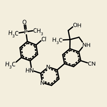 Cc1cc(P(C)(C)=O)c(Cl)cc1Nc1nccc(-c2cc(C#N)c3c(c2)C(C)(CO)CN3)n1